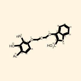 CCCc1c(OCCCOc2c(C(=O)O)sc3ccccc23)ccc(C(C)=O)c1O